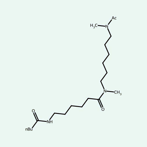 CCCCC(=O)NCCCCCC(=O)N(C)CCCCCCN(C)C(C)=O